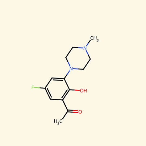 CC(=O)c1cc(F)cc(N2CCN(C)CC2)c1O